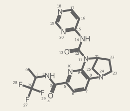 CC(NC(=O)c1ccc2c(n1)N(C(=O)Nc1ccncn1)C1CCN2C1)C(F)(F)F